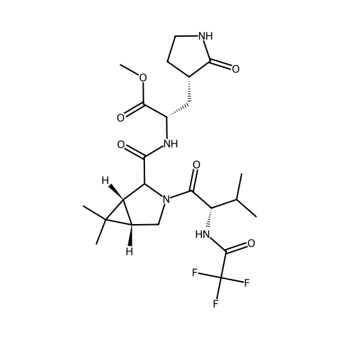 COC(=O)[C@H](C[C@@H]1CCNC1=O)NC(=O)C1[C@@H]2[C@H](CN1C(=O)[C@@H](NC(=O)C(F)(F)F)C(C)C)C2(C)C